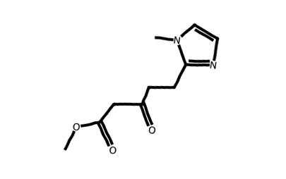 COC(=O)CC(=O)CCc1nccn1C